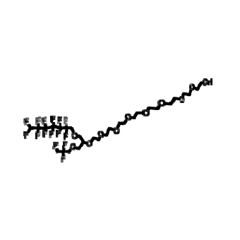 OCCOCCOCCOCCOCCOCCOCCOCCOC(COCC(F)(F)CF)COCC(F)(F)C(F)(F)C(F)(F)C(F)(F)C(F)(F)C(F)F